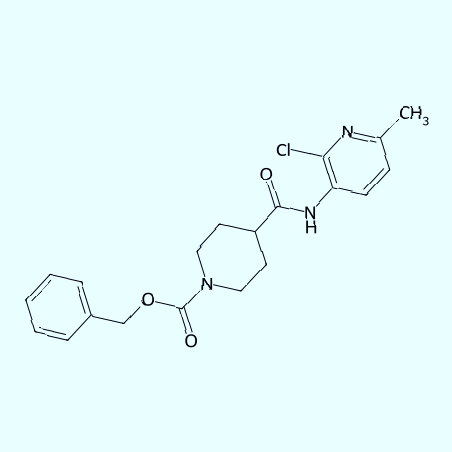 Cc1ccc(NC(=O)C2CCN(C(=O)OCc3ccccc3)CC2)c(Cl)n1